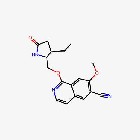 CC[C@@H]1CC(=O)N[C@@H]1COc1nccc2cc(C#N)c(OC)cc12